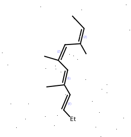 C\C=C(C)/C=C(C)\C=C(C)\C=C\CC